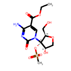 CCOC(=O)c1cn([C@]2(OS(C)(=O)=O)[C@@H](O)CO[C@@H]2CO)c(=O)nc1N